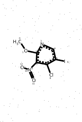 COc1ncc(I)c(Cl)c1[N+](=O)[O-]